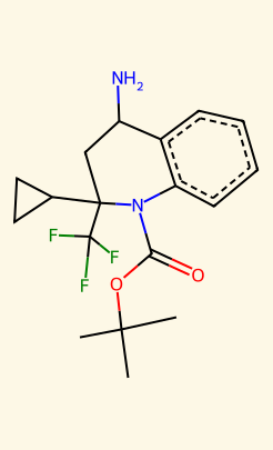 CC(C)(C)OC(=O)N1c2ccccc2C(N)CC1(C1CC1)C(F)(F)F